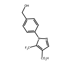 O=C(O)c1cnn(-c2ccc(CO)cc2)c1C(F)(F)F